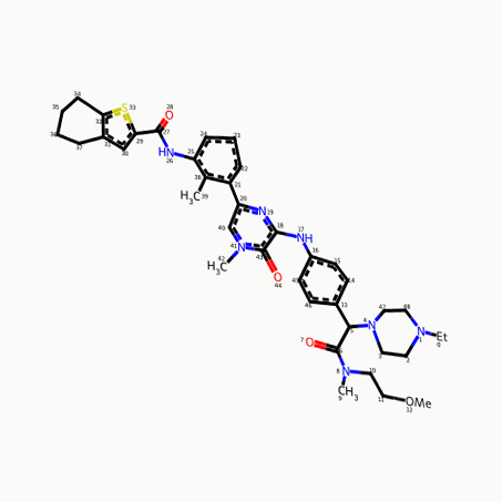 CCN1CCN(C(C(=O)N(C)CCOC)c2ccc(Nc3nc(-c4cccc(NC(=O)c5cc6c(s5)CCCC6)c4C)cn(C)c3=O)cc2)CC1